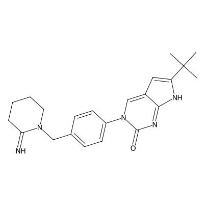 CC(C)(C)c1cc2cn(-c3ccc(CN4CCCCC4=N)cc3)c(=O)nc2[nH]1